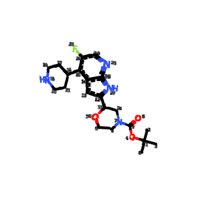 CC(C)(C)OC(=O)N1CCOC(c2cc3c(C4CCNCC4)c(F)cnc3[nH]2)C1